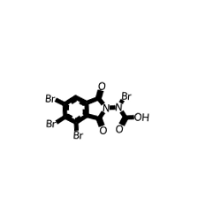 O=C(O)N(Br)N1C(=O)c2cc(Br)c(Br)c(Br)c2C1=O